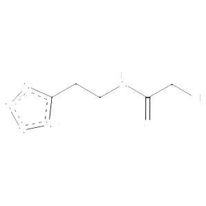 O=C(CCl)NCCc1nnn[nH]1